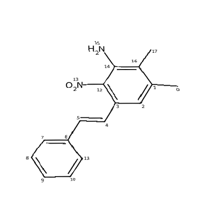 Cc1cc(C=Cc2ccccc2)c([N+](=O)[O-])c(N)c1C